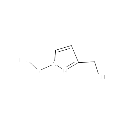 CCc1ccn(SC)n1